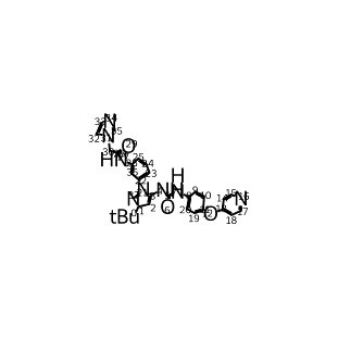 CC(C)(C)c1cc(NC(=O)Nc2ccc(Oc3ccncc3)cc2)n(-c2cccc(NC(=O)Cn3ccnc3)c2)n1